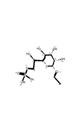 CCO[C@@H]1O[C@H]([C@H](O)COP(=O)(O)O)[C@@H](O)[C@H](O)[C@@H]1O